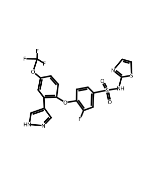 O=S(=O)(Nc1nccs1)c1ccc(Oc2ccc(OC(F)(F)F)cc2-c2cn[nH]c2)c(F)c1